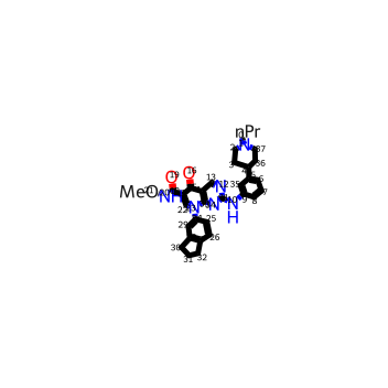 CCCN1CCC(c2cccc(Nc3ncc4c(=O)c(C(=O)NOC)cn(-c5ccc6c(c5)CCC6)c4n3)c2)CC1